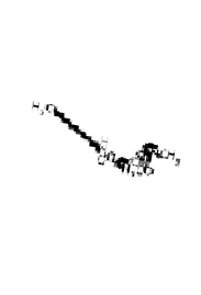 CCCCCCCCCCCCCCCNC(=O)OC[C@@H]1CO[C@@H](COC(=O)N(Cc2cccc[n+]2CC)C(C)=O)C1